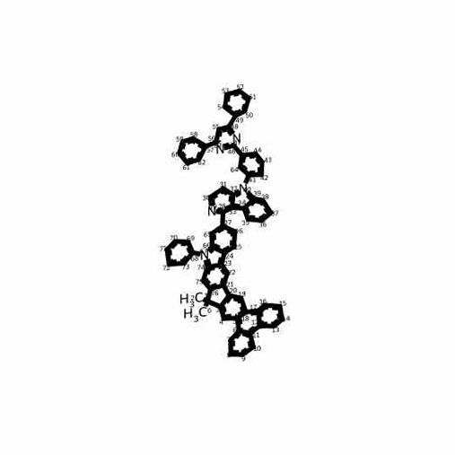 CC1(C)c2cc3c4ccccc4c4ccccc4c3cc2-c2cc3c4ccc(-c5nccc6c5c5ccccc5n6-c5cccc(-c6nc(-c7ccccc7)cc(-c7ccccc7)n6)c5)cc4n(-c4ccccc4)c3cc21